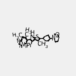 Cc1c(-c2[nH]c3sc(C4CCC(N5CCCOC5)CC4)c(C)c3c2C(C)C)cn2ncnc2c1C